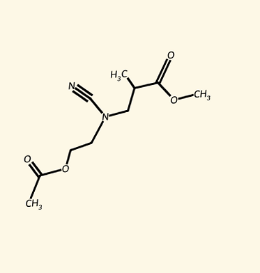 COC(=O)C(C)CN(C#N)CCOC(C)=O